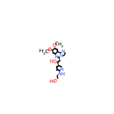 COc1cc2c(cc1OC)C1=NCCN1C(/C=C(\O)c1ccc(NCCO)nc1)=N2